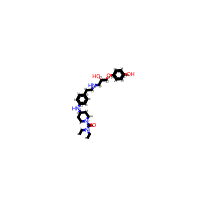 CCN(CC)C(=O)N1CCC(Nc2ccc(CCNC[C@H](O)COc3ccc(O)cc3)cc2)CC1